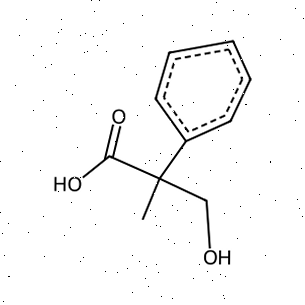 CC(CO)(C(=O)O)c1ccccc1